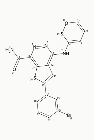 NC(=O)c1nnc(NC2=CC=COS2)c2cc(-c3cccc(Br)c3)sc12